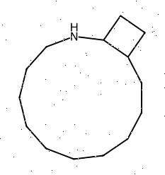 C1CCCCCC2CCC2NCCCC1